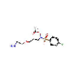 NCCOCCCN(OC(=O)C(F)(F)F)S(=O)(=O)c1ccc(F)cc1